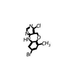 Cc1cc(Br)cc2c1OCc1c(Cl)ncnc1N2